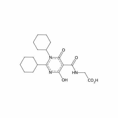 O=C(O)CNC(=O)c1c(O)nc(C2CCCCC2)n(C2CCCCC2)c1=O